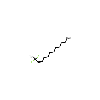 CC(=O)OCCCCCCCC/C=C\C(C)(F)F